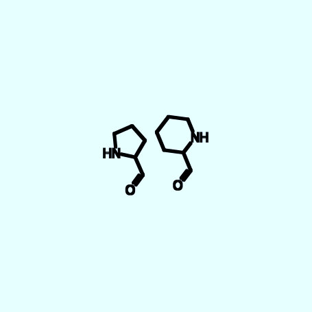 O=CC1CCCCN1.O=CC1CCCN1